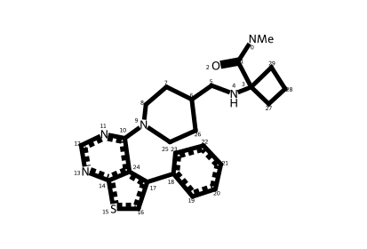 CNC(=O)C1(NCC2CCN(c3ncnc4scc(-c5ccccc5)c34)CC2)CCC1